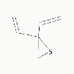 C=CC1(C=C)CS1